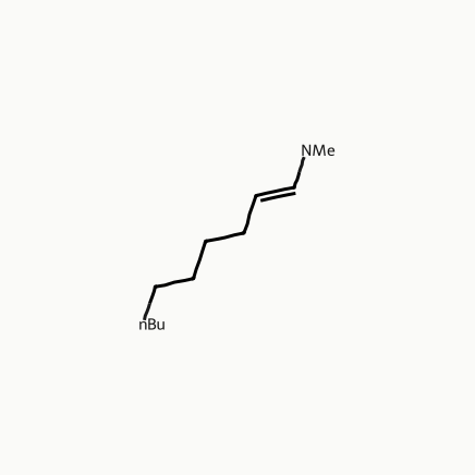 CCCCCCCCC=CNC